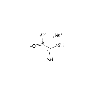 O=C([O-])C(S)S.[Na+]